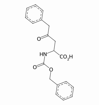 O=C(Cc1ccccc1)CC(NC(=O)OCc1ccccc1)C(=O)O